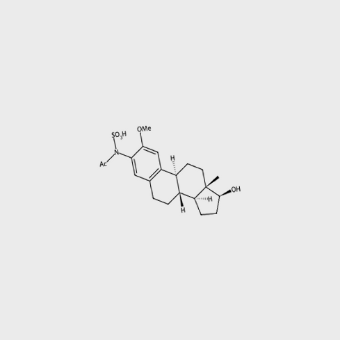 COc1cc2c(cc1N(C(C)=O)S(=O)(=O)O)CC[C@@H]1[C@@H]2CC[C@]2(C)[C@@H](O)CC[C@@H]12